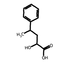 CC(CC(O)C(=O)O)c1ccccc1